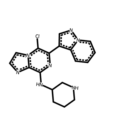 Clc1c(-c2cnn3ccccc23)nc(NC2CCCNC2)c2nccn12